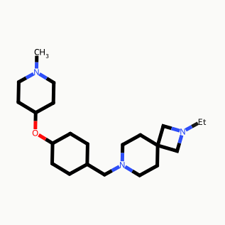 CCN1CC2(CCN(CC3CCC(OC4CCN(C)CC4)CC3)CC2)C1